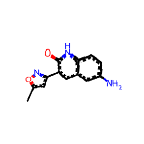 Cc1cc(-c2cc3cc(N)ccc3[nH]c2=O)no1